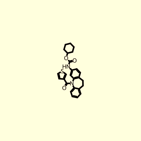 O=C(Nc1ccc2c(c1)N(C(=O)c1ccsc1)c1ccccc1CC2)OC1CCCCC1